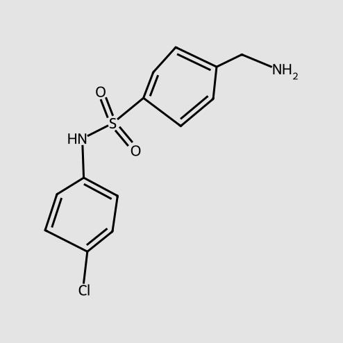 NCc1ccc(S(=O)(=O)Nc2ccc(Cl)cc2)cc1